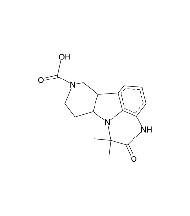 CC1(C)C(=O)Nc2cccc3c2N1C1CCN(C(=O)O)CC31